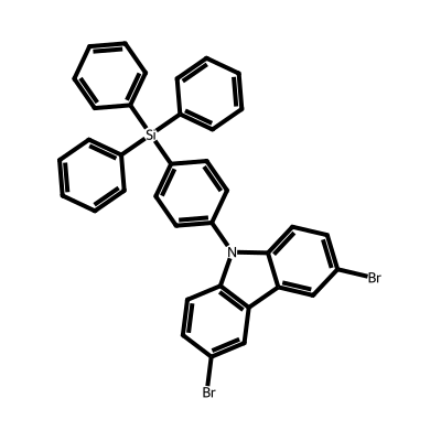 Brc1ccc2c(c1)c1cc(Br)ccc1n2-c1ccc([Si](c2ccccc2)(c2ccccc2)c2ccccc2)cc1